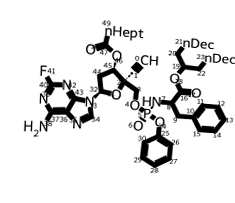 C#C[C@]1(CO[P@@](=O)(NC(Cc2ccccc2)C(=O)OC(CCCCCCCCCCC)CCCCCCCCCCC)Oc2ccccc2)O[C@@H](n2cnc3c(N)nc(F)nc32)C[C@@H]1OC(=O)CCCCCCC